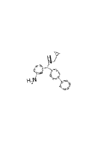 Nc1cccc(C(NCC2CC2)c2ccc(-c3ccccc3)cc2)c1